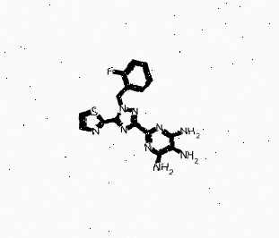 Nc1nc(-c2nc(-c3nccs3)n(Cc3ccccc3F)n2)nc(N)c1N